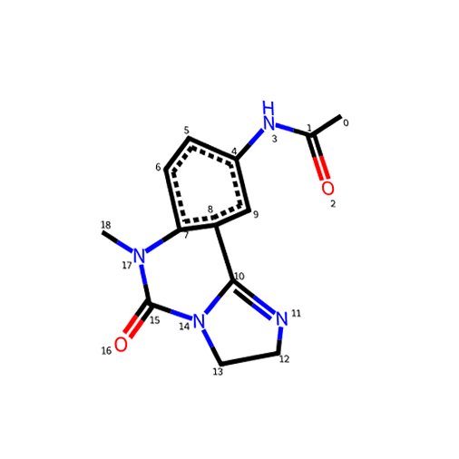 CC(=O)Nc1ccc2c(c1)C1=NCCN1C(=O)N2C